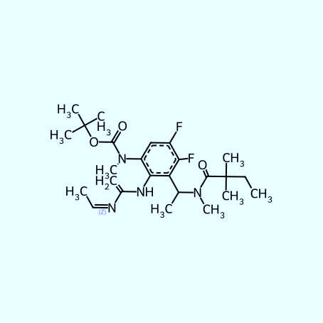 C=C(/N=C\C)Nc1c(N(C)C(=O)OC(C)(C)C)cc(F)c(F)c1C(C)N(C)C(=O)C(C)(C)CC